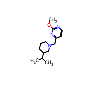 COc1nccc(CN2CCCC(C(C)C)C2)n1